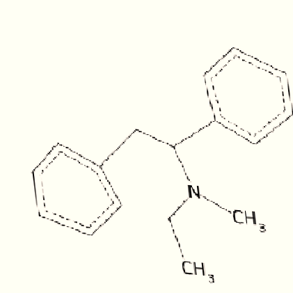 CCN(C)C(Cc1ccccc1)c1ccccc1